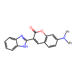 CC(C)N(c1ccc2cc(-c3nc4ccccc4[nH]3)c(=O)oc2c1)C(C)C